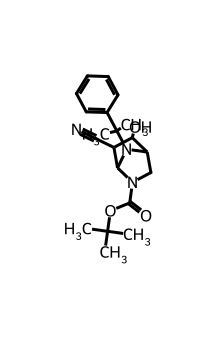 CC(C)(C)OC(=O)N1CC2C(O)C(C#N)C1N2C(C)(C)c1ccccc1